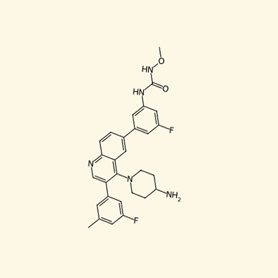 CONC(=O)Nc1cc(F)cc(-c2ccc3ncc(-c4cc(C)cc(F)c4)c(N4CCC(N)CC4)c3c2)c1